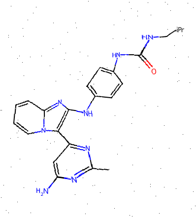 Cc1nc(N)cc(-c2c(Nc3ccc(NC(=O)NCC(C)C)cc3)nc3ccccn23)n1